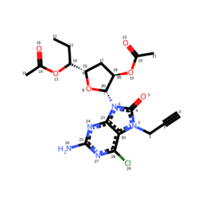 C#CCn1c(=O)n([C@@H]2O[C@H](C(CC)OC(C)=O)C[C@H]2OC(C)=O)c2nc(N)nc(Cl)c21